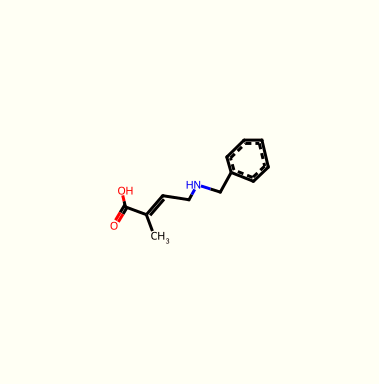 C/C(=C\CNCc1ccccc1)C(=O)O